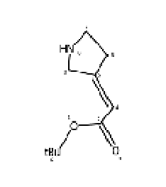 CC(C)(C)OC(=O)C=C1CCNC1